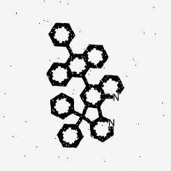 c1ccc(-c2c3ccccc3c(-c3cc4c(c5ncccc35)-c3ncccc3C4(c3ccccc3)c3ccccc3)c3ccccc23)cc1